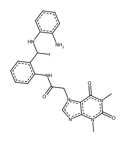 Cn1c(=O)c2c(ncn2CC(=O)Nc2ccccc2C(I)Nc2ccccc2N)n(C)c1=O